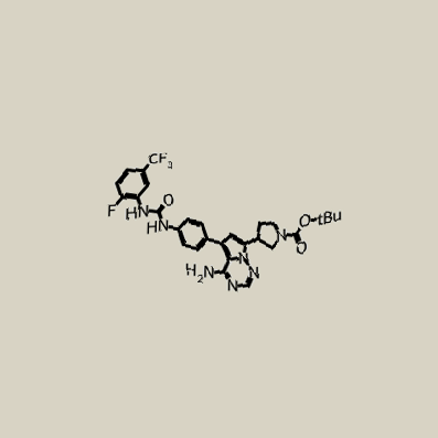 CC(C)(C)OC(=O)N1CCC(c2cc(-c3ccc(NC(=O)Nc4cc(C(F)(F)F)ccc4F)cc3)c3c(N)ncnn23)C1